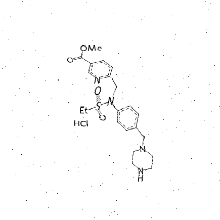 CCS(=O)(=O)N(Cc1ccc(C(=O)OC)cn1)c1ccc(CN2CCNCC2)cc1.Cl